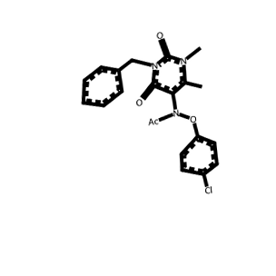 CC(=O)N(Oc1ccc(Cl)cc1)c1c(C)n(C)c(=O)n(Cc2ccccc2)c1=O